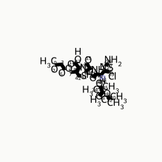 CC(=O)CC(=O)OCC1=C(C(=O)O)N2C(=O)[C@@H](NC(=O)/C(=N\OC(C)(C)C(=O)OC(C)(C)C)c3nc(N)sc3Cl)[C@@H]2SC1